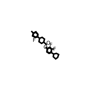 Cc1ccc(C2CCC(C(=O)Oc3ccc(C4CCCCC4)c(F)c3F)CC2)c(F)c1